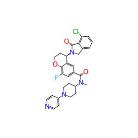 CN(C(=O)c1cc(F)c2c(c1)[C@H](N1Cc3cccc(Cl)c3C1=O)CCO2)C1CCN(c2ccncc2)CC1